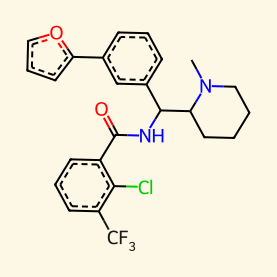 CN1CCCCC1C(NC(=O)c1cccc(C(F)(F)F)c1Cl)c1cccc(-c2ccco2)c1